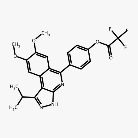 COc1cc2c(-c3ccc(OC(=O)C(F)(F)F)cc3)nc3[nH]nc(C(C)C)c3c2cc1OC